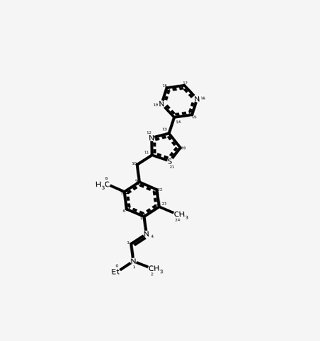 CCN(C)/C=N/c1cc(C)c(Cc2nc(-c3cnccn3)cs2)cc1C